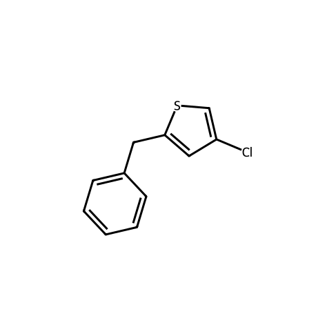 Clc1csc(Cc2ccccc2)c1